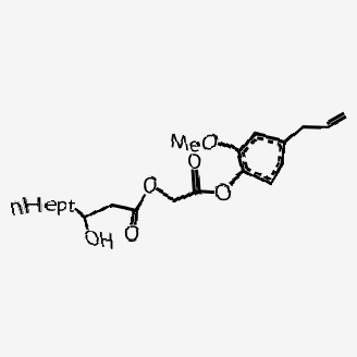 C=CCc1ccc(OC(=O)COC(=O)CC(O)CCCCCCC)c(OC)c1